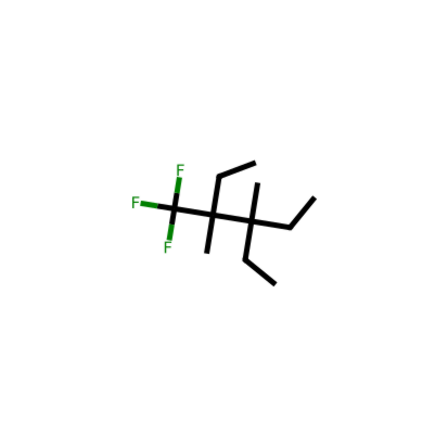 CCC(C)(CC)C(C)(CC)C(F)(F)F